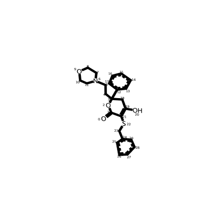 O=C1OC(CCN2CCOCC2)(c2ccccc2)CC(O)=C1SCc1ccccc1